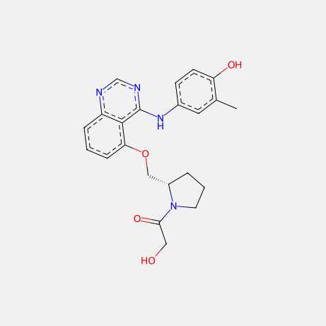 Cc1cc(Nc2ncnc3cccc(OC[C@@H]4CCCN4C(=O)CO)c23)ccc1O